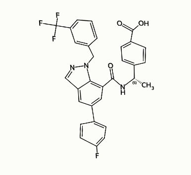 C[C@H](NC(=O)c1cc(-c2ccc(F)cc2)cc2cnn(Cc3cccc(C(F)(F)F)c3)c12)c1ccc(C(=O)O)cc1